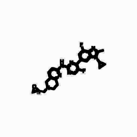 Cc1nc2c(F)cc(-c3nc(Nc4ccc5c(n4)CCN(C[C@H]4CO4)C5)ncc3F)cc2n1C1CC1